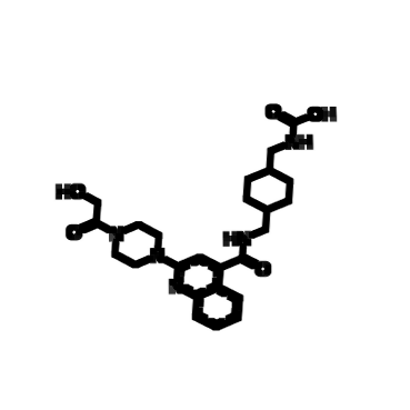 O=C(O)NCC1CCC(CNC(=O)c2cc(N3CCN(C(=O)CO)CC3)nc3ccccc23)CC1